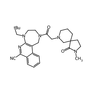 CN1CCC2(CCCN(CC(=O)N3CCN(CC(C)(C)C)c4nc(C#N)c5ccccc5c4C3)C2)C1=O